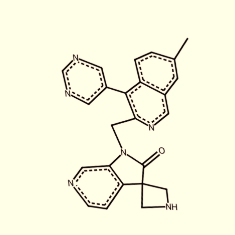 Cc1ccc2c(-c3cncnc3)c(CN3C(=O)C4(CNC4)c4ccncc43)ncc2c1